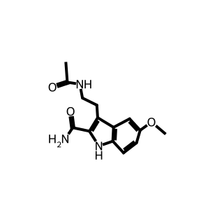 COc1ccc2[nH]c(C(N)=O)c(CCNC(C)=O)c2c1